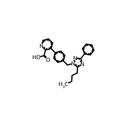 CCCCc1nc(-c2ccccc2)nn1Cc1ccc(-c2cccnc2C(=O)O)cc1